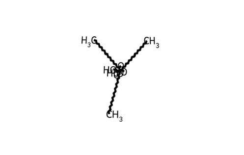 CCCCCCCCC=CCCCCCCCC(=O)C(OC(=O)CCCCCCCCCCCCCCCCC)(C(=O)CCCCCCCC=CCCCCCCCC)C(O)CO